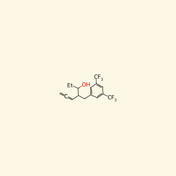 C=C=CC(Cc1cc(C(F)(F)F)cc(C(F)(F)F)c1)C(O)CC